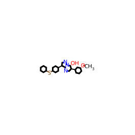 COc1cccc(-c2cnc3c(-c4ccc(Sc5ccccc5)cc4)cnn3c2O)c1